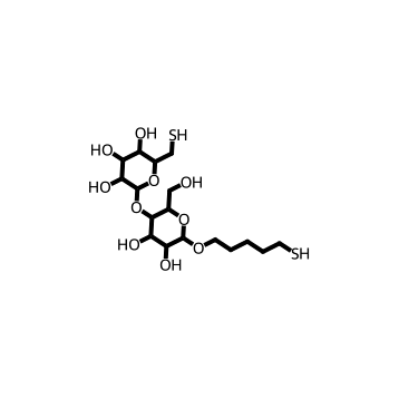 OCC1OC(OCCCCCS)C(O)C(O)C1OC1OC(CS)C(O)C(O)C1O